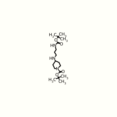 CC(C)(C)OC(=O)NCCCNC1CCN(C(=O)OC(C)(C)C)CC1